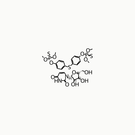 COP(=S)(OC)Oc1ccc(Sc2ccc(OP(=S)(OC)OC)cc2)cc1.O=c1ccn([C@@H]2O[C@H](CO)[C@@H](O)[C@H]2O)c(=O)[nH]1